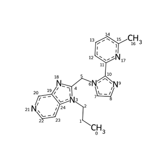 CCCn1c(Cn2ccnc2-c2cccc(C)n2)nc2cnccc21